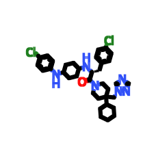 O=C([C@@H](Cc1ccc(Cl)cc1)NC1CCC(Nc2ccc(Cl)cc2)CC1)N1CCC(Cn2cncn2)(C2CCCCC2)CC1